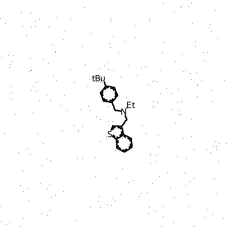 CCN(Cc1ccc(C(C)(C)C)cc1)Cc1csc2ccccc12